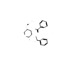 CO[C@H]1O[C@H](C)[C@@H](N=[N+]=[N-])[C@H](OC(=O)c2ccccc2)[C@@H]1OCc1ccccc1